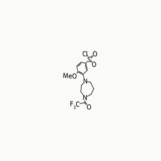 COc1ccc(S(=O)(=O)Cl)cc1N1CCCN(C(=O)C(F)(F)F)CC1